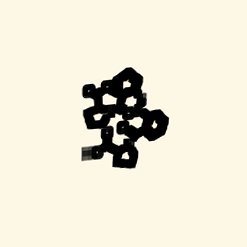 O=C(O)C1CCCN1C(=O)c1ccccc1SSc1ccccc1C(=O)N1CCCC1C(=O)O